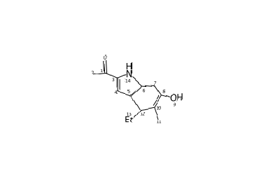 C=C(C)C1=CC2C(CC(O)=C(C)C2CC)N1